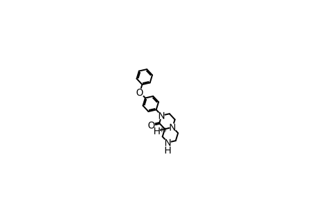 O=C1[C@H]2CNCCN2CCN1c1ccc(Oc2ccccc2)cc1